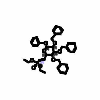 CCOP(=O)(/C=C/[C@H]1O[C@H](Oc2ccccc2)[C@@H](OCc2ccccc2)[C@@H](OCc2ccccc2)[C@@H]1OCc1ccccc1)OCC